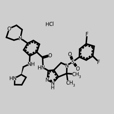 CC1(C)c2[nH]nc(NC(=O)c3ccc(N4CCOCC4)cc3NC[C@H]3CCCN3)c2CN1S(=O)(=O)c1cc(F)cc(F)c1.Cl